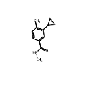 CNC(=O)c1c[c]c(C)c(C2CC2)c1